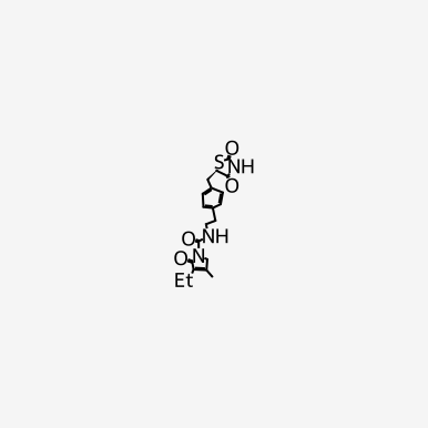 CCC1=C(C)CN(C(=O)NCCc2ccc(C[C@H]3SC(=O)NC3=O)cc2)C1=O